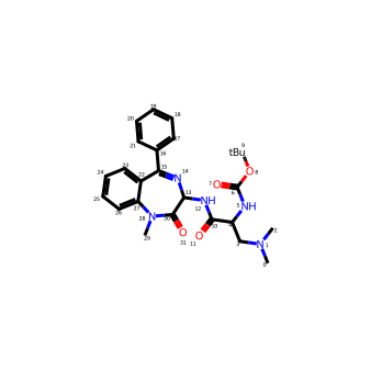 CN(C)CC(NC(=O)OC(C)(C)C)C(=O)NC1N=C(c2ccccc2)c2ccccc2N(C)C1=O